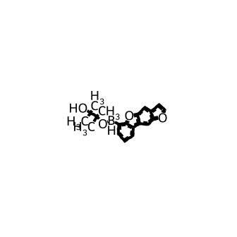 CC(C)(O)C(C)(C)OBc1cccc2c1oc1cc3ccoc3cc12